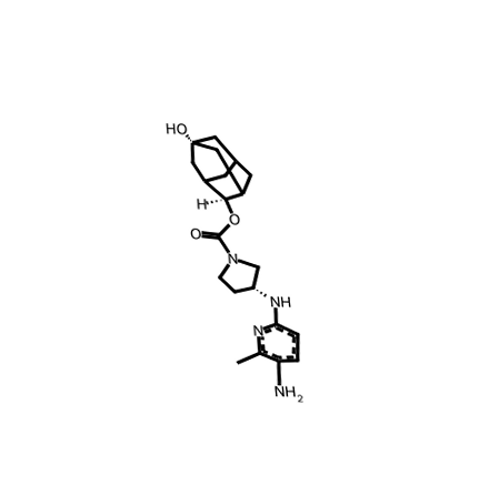 Cc1nc(N[C@@H]2CCN(C(=O)O[C@H]3C4CC5CC3C[C@](O)(C5)C4)C2)ccc1N